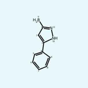 Bc1cc(-c2ccccc2)[nH]n1